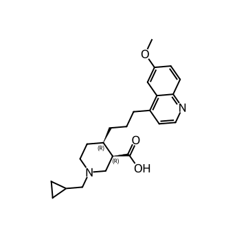 COc1ccc2nccc(CCC[C@@H]3CCN(CC4CC4)C[C@@H]3C(=O)O)c2c1